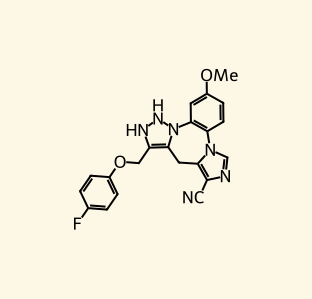 COc1ccc2c(c1)N1NNC(COc3ccc(F)cc3)=C1Cc1c(C#N)ncn1-2